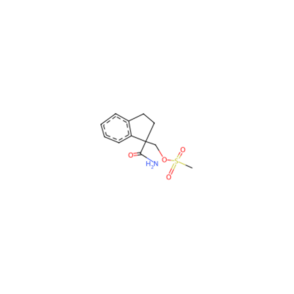 CS(=O)(=O)OCC1(C(N)=O)CCc2ccccc21